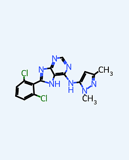 Cc1cc(Nc2ncnc3nc(-c4c(Cl)cccc4Cl)[nH]c23)n(C)n1